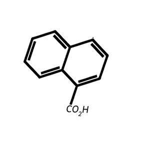 O=C(O)c1cc[c]c2ccccc12